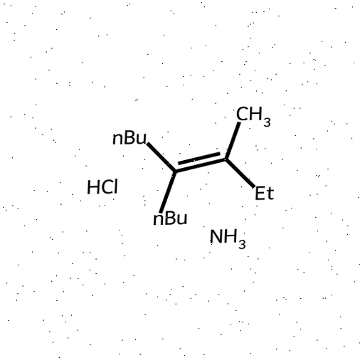 CCCCC(CCCC)=C(C)CC.Cl.N